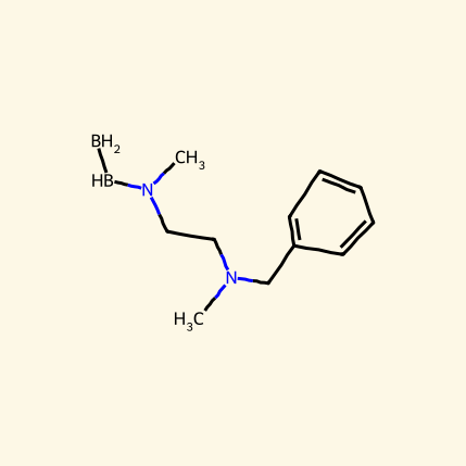 BBN(C)CCN(C)Cc1ccccc1